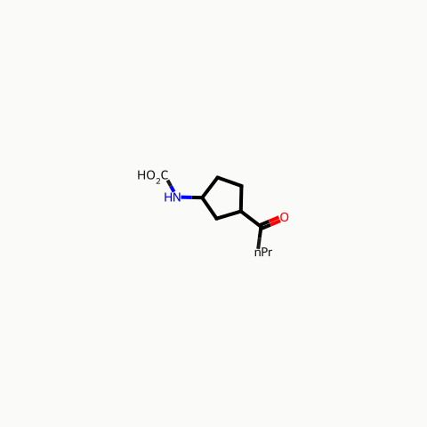 CCCC(=O)C1CCC(NC(=O)O)C1